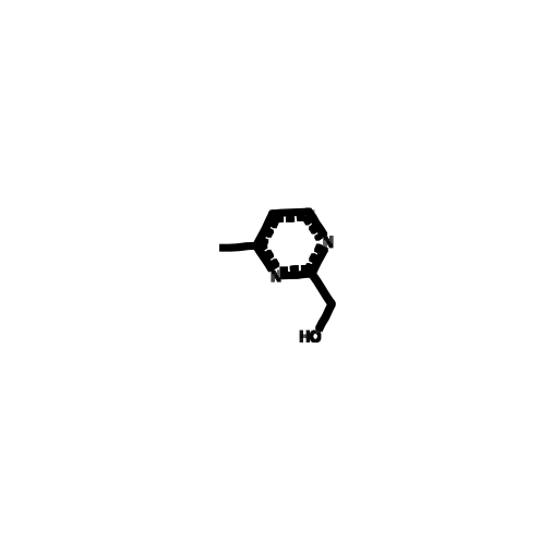 Cc1c[c]nc(CO)n1